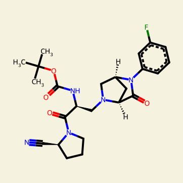 CC(C)(C)OC(=O)N[C@@H](CN1C[C@@H]2C[C@H]1C(=O)N2c1cccc(F)c1)C(=O)N1CCC[C@H]1C#N